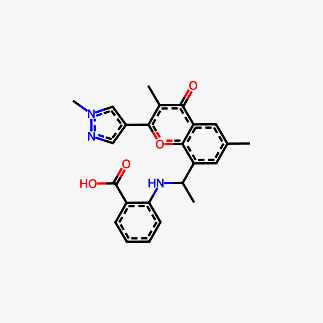 Cc1cc(C(C)Nc2ccccc2C(=O)O)c2oc(-c3cnn(C)c3)c(C)c(=O)c2c1